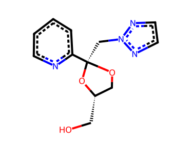 OC[C@H]1CO[C@](Cn2nccn2)(c2ccccn2)O1